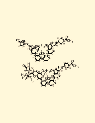 COc1nc(-c2cccc(-c3ccnc(-c4cnc5c(CNC6CCN(C(C)=O)CC6)cn(C)c5c4)c3Cl)c2Cl)ccc1CN(C[C@@H]1CCC(=O)N1)C(=O)OC(C)(C)C.COc1nc(-c2cccc(-c3ccnc(-c4cnc5c(CNC6CCN(C(C)=O)CC6)cn(C)c5c4)c3Cl)c2Cl)ccc1CNC[C@@H]1CCC(=O)N1